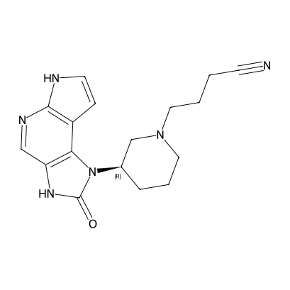 N#CCCCN1CCC[C@@H](n2c(=O)[nH]c3cnc4[nH]ccc4c32)C1